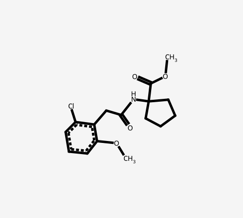 COC(=O)C1(NC(=O)Cc2c(Cl)cccc2OC)CCCC1